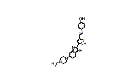 CN1CCN(c2ccc3[nH]c(-c4cc(/C=C/c5ccc(O)cc5)n[nH]4)nc3c2)CC1